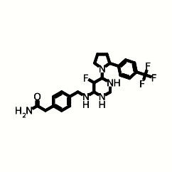 NC(=O)Cc1ccc(CNC2NCNC(N3CCCC3c3ccc(C(F)(F)F)cc3)C2F)cc1